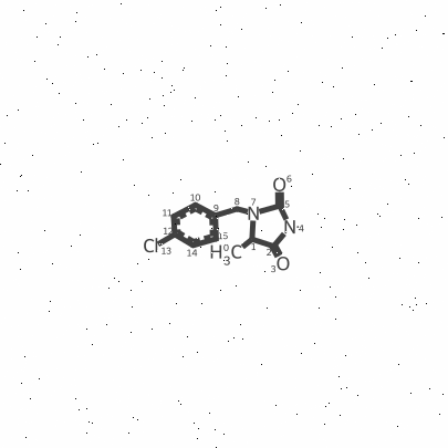 CC1C(=O)[N]C(=O)N1Cc1ccc(Cl)cc1